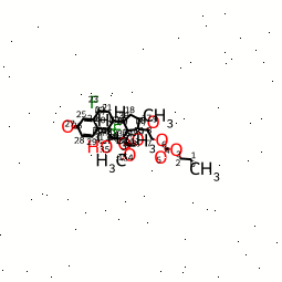 CCCOC(=O)OCC(=O)[C@@]1(OC(=O)OC)[C@H](C)C[C@H]2[C@@H]3C[C@H](F)C4=CC(=O)C=C[C@]4(C)[C@@]3(F)[C@@H](O)C[C@@]21C